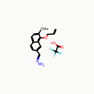 C=CCOc1c(OC)ccc2ccc(C=NN)cc12.O=C(O)C(F)(F)F